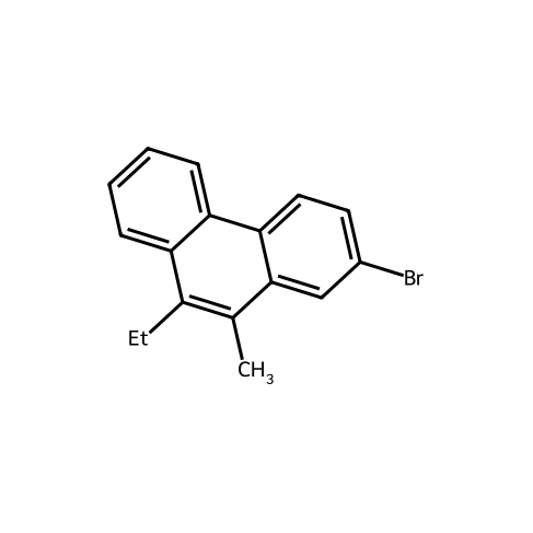 CCc1c(C)c2cc(Br)ccc2c2ccccc12